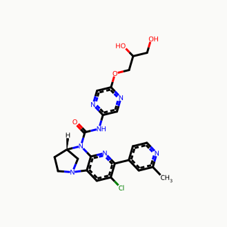 Cc1cc(-c2nc3c(cc2Cl)N2CC[C@@H](C2)N3C(=O)Nc2cnc(OCC(O)CO)cn2)ccn1